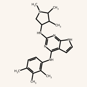 Cc1ccc(Nc2nc(NC3CN(C)C(C)C3C)nc3[nH]ccc23)c(C)c1C